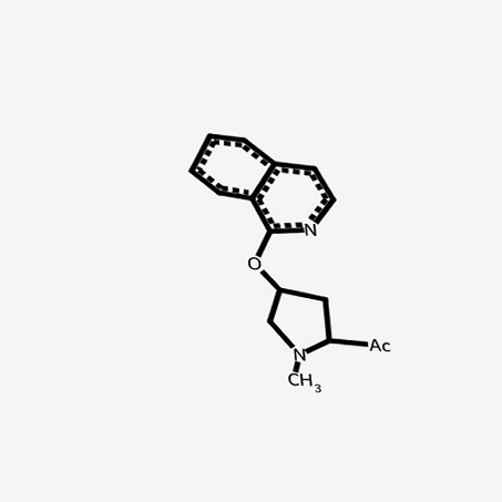 CC(=O)C1CC(Oc2nccc3ccccc23)CN1C